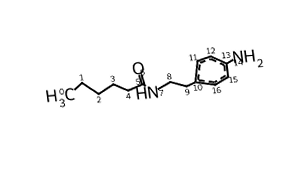 CCCCCC(=O)NCCc1ccc(N)cc1